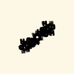 O[C@@H]1C2OB(c3ccc(B4OC5C6CO[C@@H](O6)C(O4)[C@H]5O)cc3)OC1[C@H]1CO[C@H]2O1